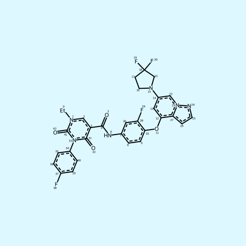 CCn1cc(C(=O)Nc2ccc(Oc3cc(N4CCC(F)(F)C4)cn4nccc34)c(F)c2)c(=O)n(-c2ccc(F)cc2)c1=O